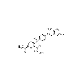 CC(=O)N1CCN(S(=O)(=O)c2ccc(OCc3cc(F)ccc3C)cc2)C(C(=O)NO)C1